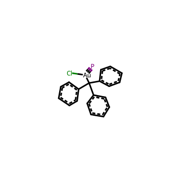 [P]#[Au]([Cl])[C](c1ccccc1)(c1ccccc1)c1ccccc1